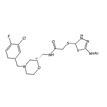 CC(=O)NC1=NNC(SCC(=O)NC[C@H]2CN(CC3C=C(Cl)C(F)=CC3)CCO2)S1